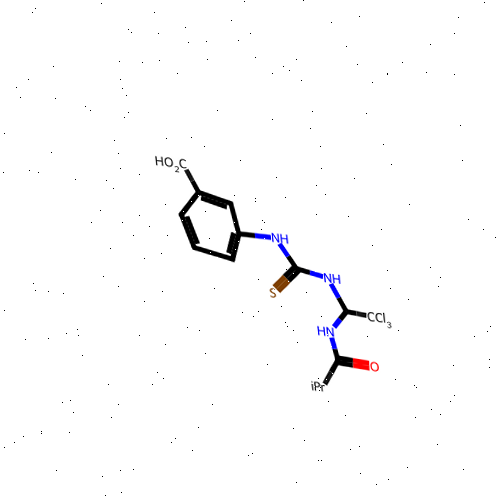 CC(C)C(=O)NC(NC(=S)Nc1cccc(C(=O)O)c1)C(Cl)(Cl)Cl